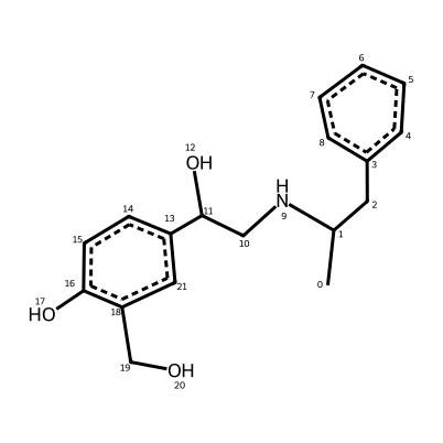 CC(Cc1ccccc1)NCC(O)c1ccc(O)c(CO)c1